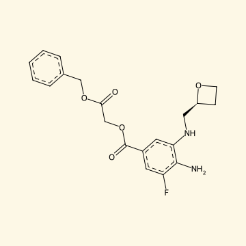 Nc1c(F)cc(C(=O)OCC(=O)OCc2ccccc2)cc1NC[C@@H]1CCO1